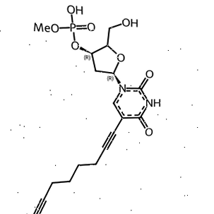 C#CCCCCC#Cc1cn([C@H]2C[C@@H](OP(=O)(O)OC)C(CO)O2)c(=O)[nH]c1=O